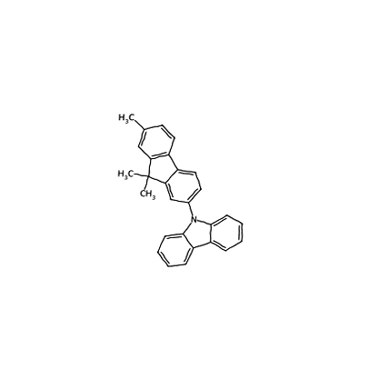 Cc1ccc2c(c1)C(C)(C)c1cc(-n3c4ccccc4c4ccccc43)ccc1-2